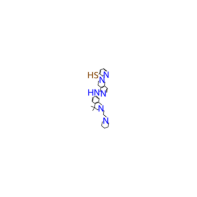 CC1(C)CN(CCCN2CCCCC2)Cc2cc(Nc3nccc4c3CCN(c3ncccc3S)C4)ccc21